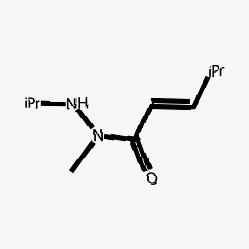 CC(C)C=CC(=O)N(C)NC(C)C